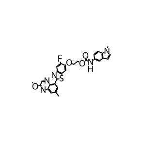 COc1cnc2c(-c3nc4cc(F)c(OCCOC(=O)Nc5ccc6c(ccn6C)c5)cc4s3)cc(C)cc2n1